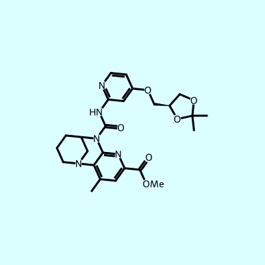 COC(=O)c1cc(C)c2c(n1)N(C(=O)Nc1cc(OC[C@H]3COC(C)(C)O3)ccn1)C1CCCN2C1